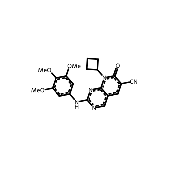 COc1cc(Nc2ncc3cc(C#N)c(=O)n(C4CCC4)c3n2)cc(OC)c1OC